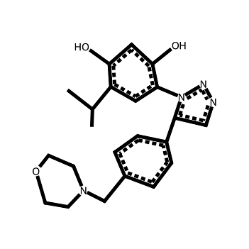 CC(C)c1cc(-n2nncc2-c2ccc(CN3CCOCC3)cc2)c(O)cc1O